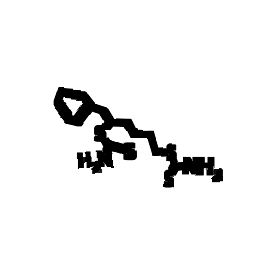 NC(=S)SCCCCC(Cc1ccccc1)SC(N)=S